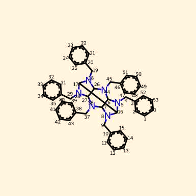 c1ccc(CN2C3C4N(Cc5ccccc5)C2C2N(Cc5ccccc5)C(C(N2Cc2ccccc2)N4Cc2ccccc2)N3Cc2ccccc2)cc1